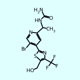 CC(NC(N)=O)c1cc(-c2nc(C(F)(F)F)c(CO)s2)c(Br)cn1